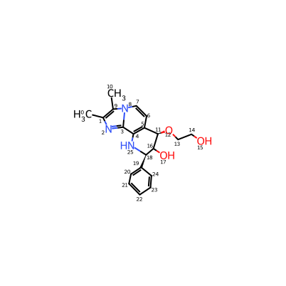 Cc1nc2c3c(ccn2c1C)[C@@H](OCCO)C(O)[C@@H](c1ccccc1)N3